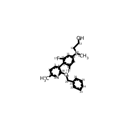 Cc1ccc(-c2c(F)cc(N(C)CCO)cc2F)c(OCc2ccccc2)n1